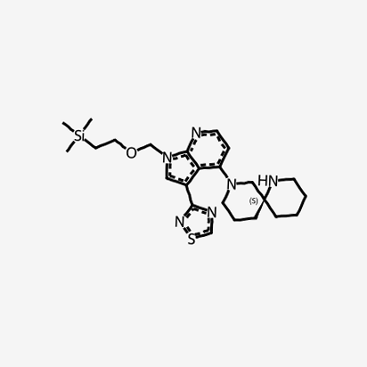 C[Si](C)(C)CCOCn1cc(-c2ncsn2)c2c(N3CCC[C@@]4(CCCCN4)C3)ccnc21